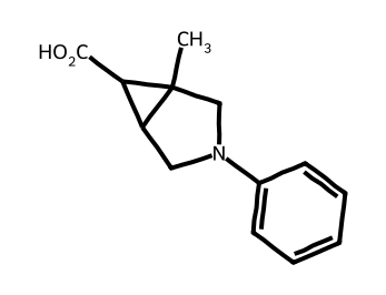 CC12CN(c3ccccc3)CC1C2C(=O)O